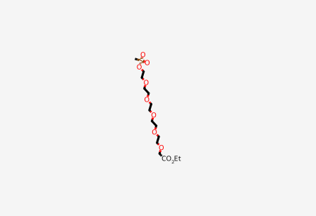 CCOC(=O)COCCOCCOCCOCCOCCOS(C)(=O)=O